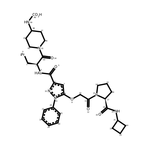 CC(C)C[C@H]([AsH]C(=O)c1cc(OCC(=O)N2CCC[C@H]2C(=O)NC2CCC2)n(-c2ccccc2)n1)C(=O)N1CCC(NC(=O)O)CC1